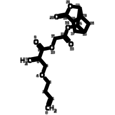 C=CCCOCC(=C)C(=O)OCC(=O)OC1C2CC3C(=O)OC1C3C2